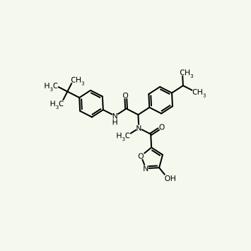 CC(C)c1ccc(C(C(=O)Nc2ccc(C(C)(C)C)cc2)N(C)C(=O)c2cc(O)no2)cc1